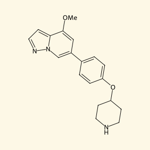 COc1cc(-c2ccc(OC3CCNCC3)cc2)cn2nccc12